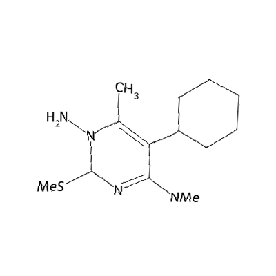 CNC1=NC(SC)N(N)C(C)=C1C1CCCCC1